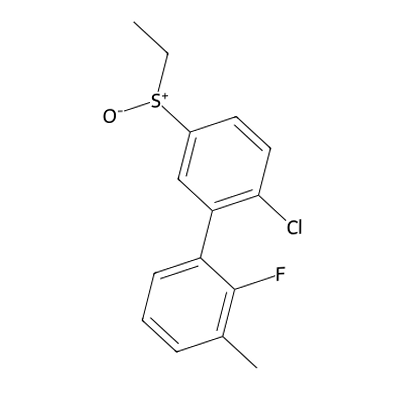 CC[S+]([O-])c1ccc(Cl)c(-c2cccc(C)c2F)c1